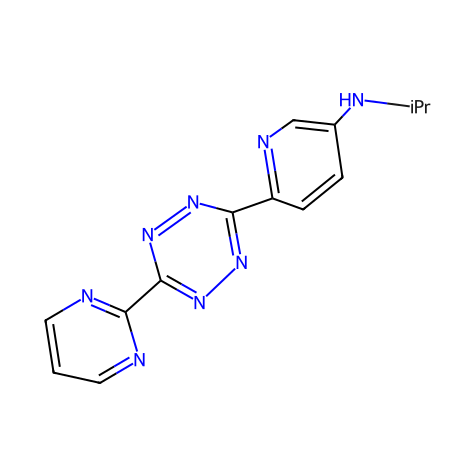 CC(C)Nc1ccc(-c2nnc(-c3ncccn3)nn2)nc1